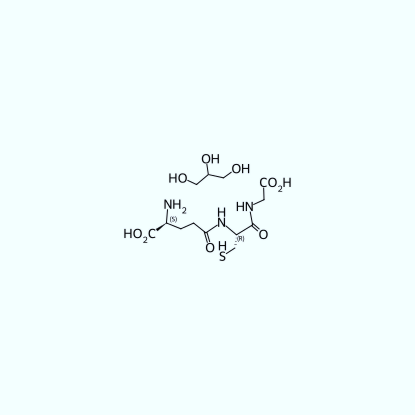 N[C@@H](CCC(=O)N[C@@H](CS)C(=O)NCC(=O)O)C(=O)O.OCC(O)CO